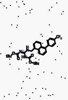 CC(C)(C)OC(=O)/N=C(/NCc1cccc2c(-c3ccc(C(F)(F)F)cc3)cccc12)NC(=O)OC(C)(C)C